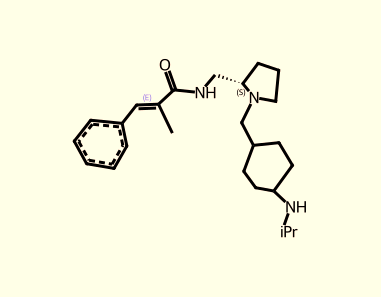 C/C(=C\c1ccccc1)C(=O)NC[C@@H]1CCCN1CC1CCC(NC(C)C)CC1